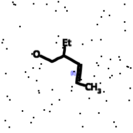 C/C=C/C(CC)C[O]